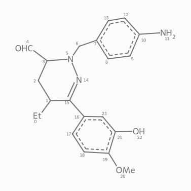 CCC1CC(C=O)N(Cc2ccc(N)cc2)N=C1c1ccc(OC)c(O)c1